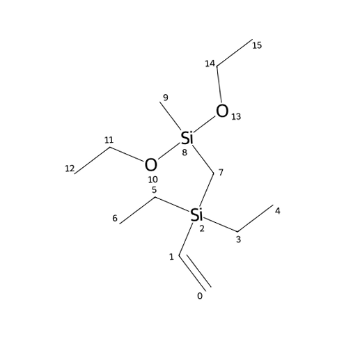 C=C[Si](CC)(CC)C[Si](C)(OCC)OCC